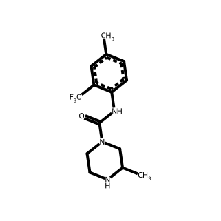 Cc1ccc(NC(=O)N2CCNC(C)C2)c(C(F)(F)F)c1